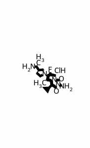 Cc1c(N2CC[C@@H]([C@@H](C)N)C2)c(F)cn2c(=O)n(N)c(=O)c(C3CC3)c12.Cl